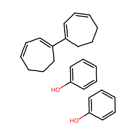 C1=CCCCC(C2=CC=CCCC2)=C1.Oc1ccccc1.Oc1ccccc1